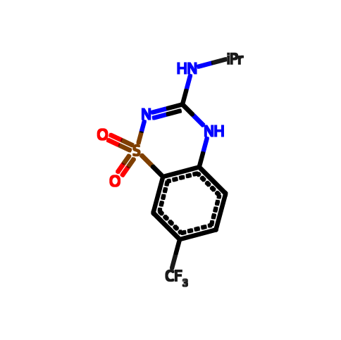 CC(C)NC1=NS(=O)(=O)c2cc(C(F)(F)F)ccc2N1